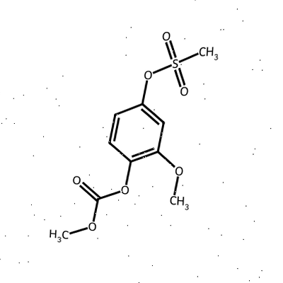 COC(=O)Oc1ccc(OS(C)(=O)=O)cc1OC